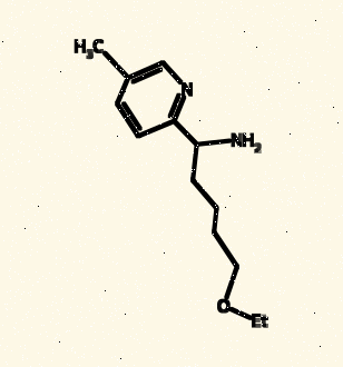 CCOCCCCC(N)c1ccc(C)cn1